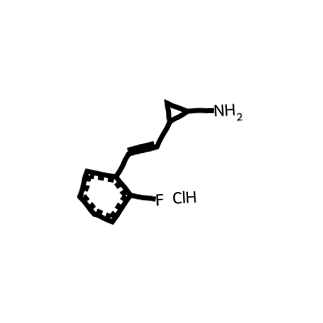 Cl.NC1CC1C=Cc1ccccc1F